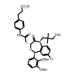 CCOC(=O)CCc1ccc(NC(=O)C[C@H]2O[C@H](c3cccc(OC)c3OC)c3cc(Cl)ccc3N(CC(C)(C)COC(C)=O)C2=O)cc1